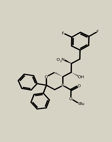 CC(C)(C)OC(=O)N1CC(c2ccccc2)(c2ccccc2)OC[C@@H]1[C@@H](O)[C@H](Cc1cc(F)cc(F)c1)[N+](=O)[O-]